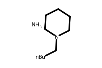 CCCCCN1CCCCC1.N